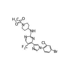 CS(=O)(=O)N1CCC(Nc2ncc(C(F)(F)F)c(-c3cn(-c4ccc(Br)cc4Cl)cn3)n2)CC1